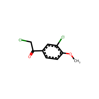 COc1ccc(C(=O)CCl)cc1Cl